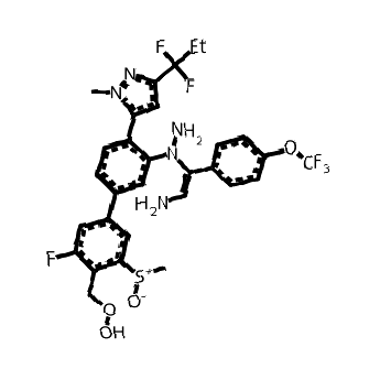 CCC(F)(F)c1cc(-c2ccc(-c3cc(F)c(COO)c([S+](C)[O-])c3)cc2N(N)/C(=C\N)c2ccc(OC(F)(F)F)cc2)n(C)n1